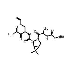 C=CCCC(NC(=O)[C@@H]1C2C(CN1C(=O)C(NC(=O)OC(C)(C)C)C(C)(C)C)C2(C)C)C(=O)C(N)=O